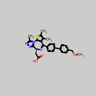 COCc1ccc(-c2ccc(C3=N[C@@H](CC(=O)O)c4nnc(C)n4-c4sc(C)c(C)c43)cc2)cc1